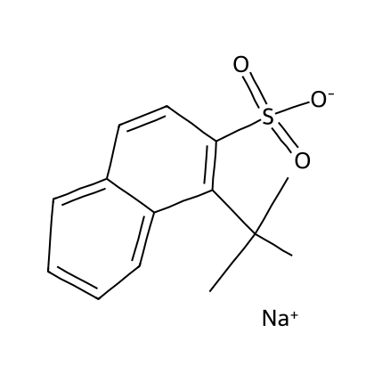 CC(C)(C)c1c(S(=O)(=O)[O-])ccc2ccccc12.[Na+]